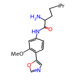 COc1cc(NC(=O)C(N)CCC(C)C)ccc1-c1cnco1